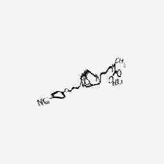 CN(CCCN1CC2CN(CCCOc3ccc(C#N)cc3)CC(C1)O2)C(=O)OC(C)(C)C